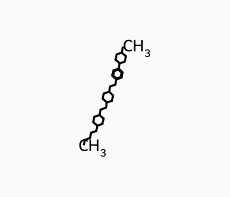 CCCCCC1CCC(CCC2CCC(CCc3ccc(C4CCC(CC)CC4)cc3)CC2)CC1